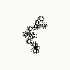 c1ccc(C2Oc3cc(-c4cccc(-c5c6ccccc6c(-c6cccc(-c7ccc8oc9ccccc9c8c7)c6)c6ccccc56)c4)ccc3C2c2ccccc2)cc1